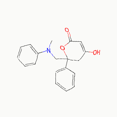 CN(CC1(c2ccccc2)CC(O)=CC(=O)O1)c1ccccc1